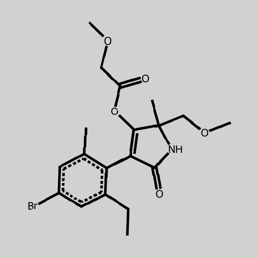 CCc1cc(Br)cc(C)c1C1=C(OC(=O)COC)C(C)(COC)NC1=O